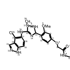 COc1cc(OCC(=O)NC(C)C)ccc1C1N=C(Nc2ccc3[nH]ncc3c2Cl)N(C)N1